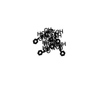 CCCC(O)CNCC1=CC[C@@H](NC(=O)OCc2ccccc2)[C@@H](O[C@H]2[C@H](O[C@@H]3O[C@H](CO)[C@@H](O[C@H]4O[C@@H](CC)[C@@H](O)[C@H](O)[C@H]4NC(=O)OCc4ccccc4)[C@H]3O)[C@@H](O)[C@H](NC(=O)OCc3ccccc3)C[C@@H]2C)O1